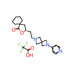 O=C(O)C(F)(F)F.O=C1O[C@H](CCN2CC3(C2)CN(c2ccncc2)C3)CC12CCCCC2